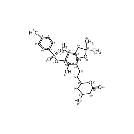 Cc1ccc(S(=O)(=O)Oc2c(C)c(CCC3CC(O)CC(=O)O3)c3c(c2C)CC(C)(C)O3)cc1